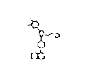 Fc1ccc(-c2cn(CCN3CCC3)c(C3CCN(c4ncnc5c4OCCN5)CC3)n2)cc1Cl